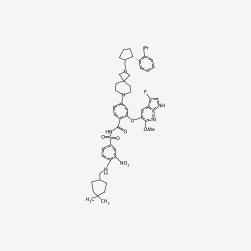 COc1nc2[nH]cc(F)c2cc1Oc1cc(N2CCC3(CC2)CN(C2CCC[C@@H]2c2ccccc2C(C)C)C3)ccc1C(=O)NS(=O)(=O)c1ccc(NCC2CCC(C)(C)CC2)c([N+](=O)[O-])c1